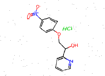 Cl.O=[N+]([O-])c1ccc(OCC(O)c2ccccn2)cc1